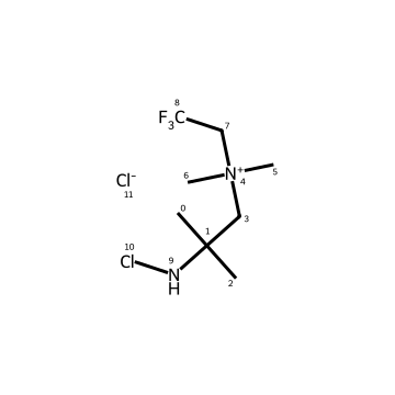 CC(C)(C[N+](C)(C)CC(F)(F)F)NCl.[Cl-]